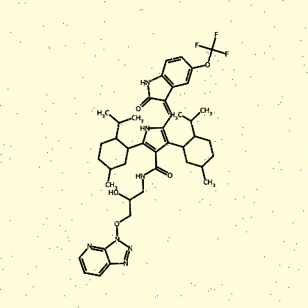 CC1CCC(C(C)C)C(c2[nH]c(/C=C3\C(=O)Nc4ccc(OC(F)(F)F)cc43)c(C3CC(C)CCC3C(C)C)c2C(=O)NCC(O)COn2nnc3cccnc32)C1